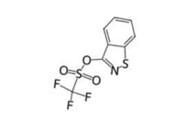 O=S(=O)(Oc1nsc2ccccc12)C(F)(F)F